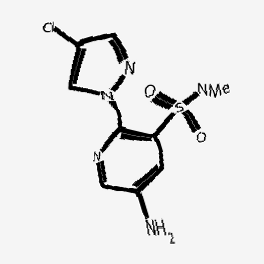 CNS(=O)(=O)c1cc(N)cnc1-n1cc(Cl)cn1